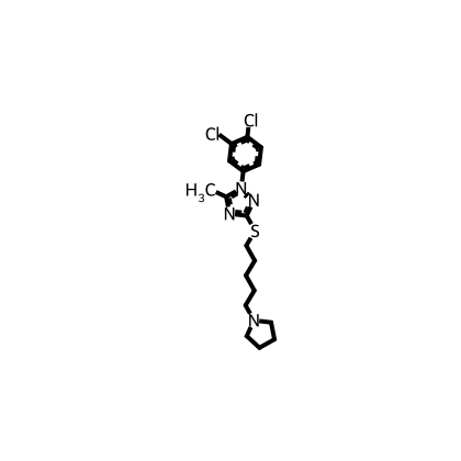 Cc1nc(SCCCCCN2CCCC2)nn1-c1ccc(Cl)c(Cl)c1